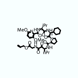 C=CCOC(=O)CNC(=O)C(=O)C(CCC)NC(=O)[C@@H]1CCCN1C(=O)[C@@H](NC(=O)[C@@H](NC(=O)c1nc(OC)ccc1OC)C(C)C)C1CCCCC1